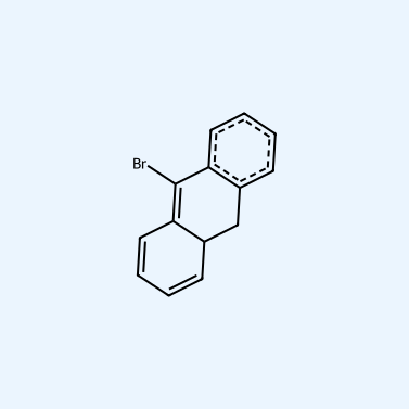 BrC1=C2C=CC=CC2Cc2ccccc21